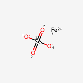 O=[Se](=O)([O-])[O-].[Fe+2]